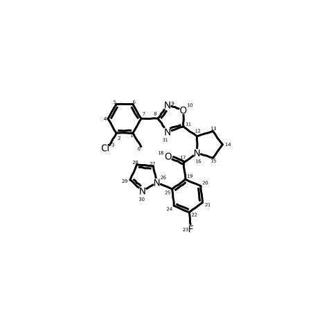 Cc1c(Cl)cccc1-c1noc(C2CCCN2C(=O)c2ccc(F)cc2-n2cccn2)n1